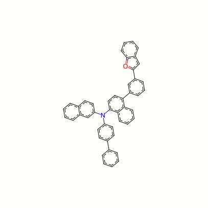 c1ccc(-c2ccc(N(c3ccc4ccccc4c3)c3ccc(-c4cccc(-c5cc6ccccc6o5)c4)c4ccccc34)cc2)cc1